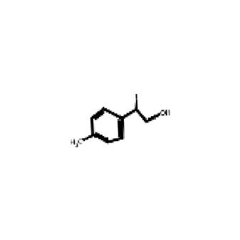 Cc1ccc(C(I)CO)cc1